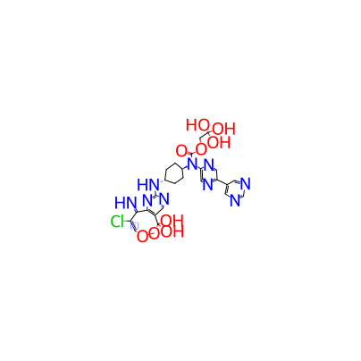 N=C1/C(Cl)=C\OOC(O)(O)c2cnc(N[C@H]3CC[C@H](N(C(=O)OCC(O)(O)O)c4cnc(-c5cncnc5)cn4)CC3)nc21